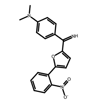 CN(C)c1ccc(C(=N)c2ccc(-c3ccccc3[N+](=O)[O-])o2)cc1